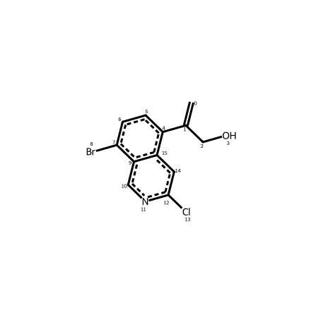 C=C(CO)c1ccc(Br)c2cnc(Cl)cc12